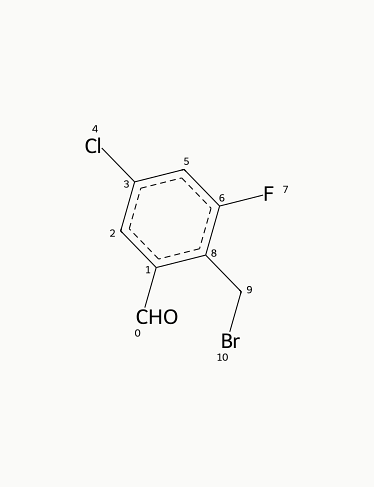 O=Cc1cc(Cl)cc(F)c1CBr